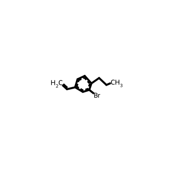 C=Cc1ccc(CCC)c(Br)c1